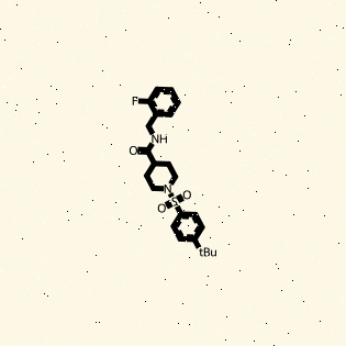 CC(C)(C)c1ccc(S(=O)(=O)N2CCC(C(=O)NCc3ccccc3F)CC2)cc1